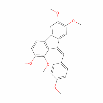 COc1ccc(C=C2c3cc(OC)c(OC)cc3-c3ccc(OC)c(OC)c32)cc1